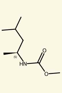 COC(=O)N[C@@H](C)CC(C)C